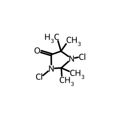 CC1(C)C(=O)N(Cl)C(C)(C)N1Cl